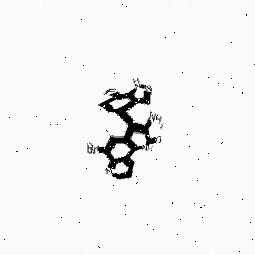 Nc1c(-c2ccc(F)c3[nH]ncc23)c2cc(Br)c3ncccc3c2[nH]c1=O